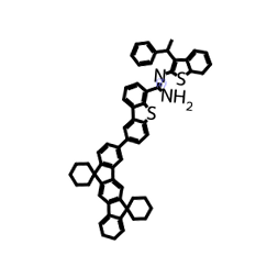 CC(C1=C(/N=C(\N)c2cccc3c2sc2ccc(-c4ccc5c(c4)-c4cc6c(cc4C54CCCCC4)C4=CCCC=C4C64CCCCC4)cc23)SC2CC=CC=C12)c1ccccc1